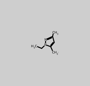 [CH2]c1cc(C)nn1CC